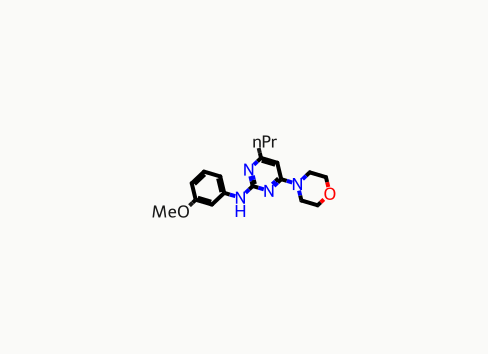 CCCc1cc(N2CCOCC2)nc(Nc2cccc(OC)c2)n1